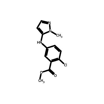 COC(=O)c1cc(Nc2ccnn2C)ccc1Cl